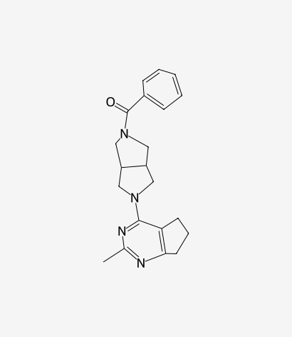 Cc1nc2c(c(N3CC4CN(C(=O)c5ccccc5)CC4C3)n1)CCC2